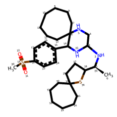 C[C@H](NC1CNC2(CCCCCCC2)C(c2ccc(S(C)(=O)=O)cc2)N1)C1CCC2(CCCCCC2)S1